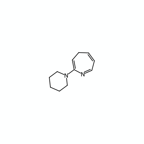 C1=CCC=C(N2CCCCC2)N=C1